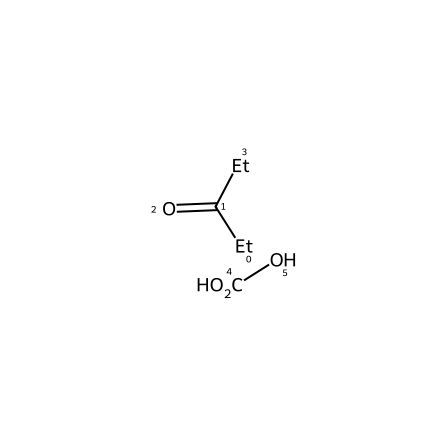 CCC(=O)CC.O=C(O)O